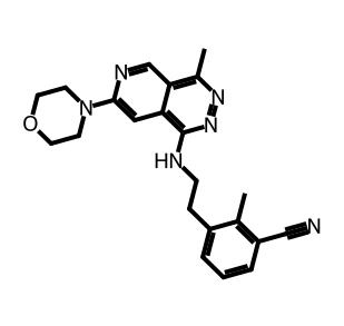 Cc1c(C#N)cccc1CCNc1nnc(C)c2cnc(N3CCOCC3)cc12